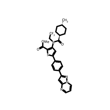 COC(=O)c1sc(-c2ccc(-c3cc4ncccn4n3)cc2)cc1N(CC(F)(F)F)C(=O)[C@H]1CC[C@H](C)CC1